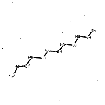 [BH]BBBBBBBBBBB